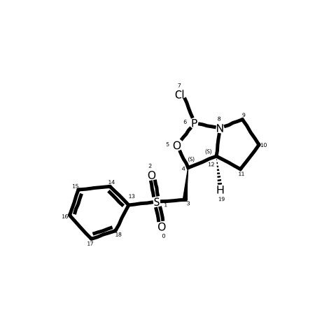 O=S(=O)(C[C@H]1OP(Cl)N2CCC[C@@H]12)c1ccccc1